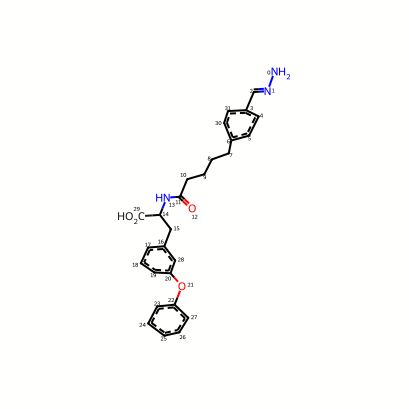 NN=Cc1ccc(CCCCC(=O)NC(Cc2cccc(Oc3ccccc3)c2)C(=O)O)cc1